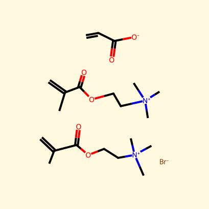 C=C(C)C(=O)OCC[N+](C)(C)C.C=C(C)C(=O)OCC[N+](C)(C)C.C=CC(=O)[O-].[Br-]